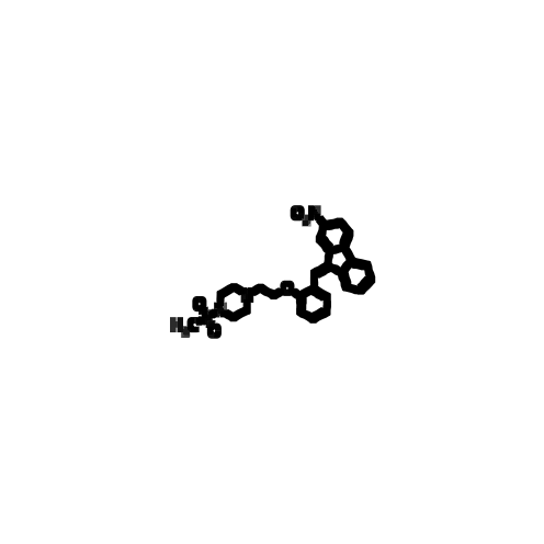 CS(=O)(=O)N1CCN(CCOc2ccccc2C=C2c3ccccc3-c3ccc([N+](=O)[O-])cc32)CC1